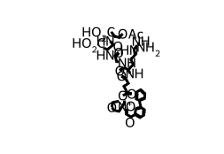 CC(=O)OCC(NC(=O)C(CC(=O)O)NC(=O)CNC(=O)C(CCCNC(=N)N)NC(=O)CCC(=O)OC[N+]1(c2cc(=O)c3cccc(-c4ccccc4)c3o2)CCOCC1)C(=O)O